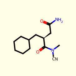 CN(C#N)C(=O)[C@H](CC(N)=O)CC1CCCCC1